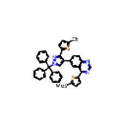 CSc1ccc(-c2ncnc3ccc(-c4cn(C(c5ccccc5)(c5ccccc5)c5ccccc5)nc4-c4ccc(C#N)s4)cc23)s1